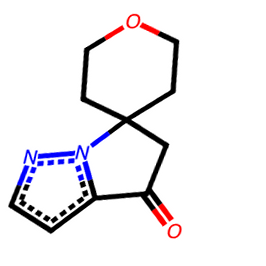 O=C1CC2(CCOCC2)n2nccc21